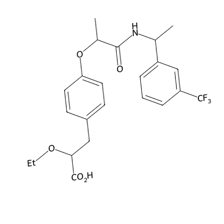 CCOC(Cc1ccc(OC(C)C(=O)NC(C)c2cccc(C(F)(F)F)c2)cc1)C(=O)O